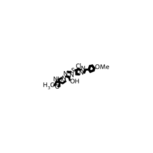 COc1ccc(-c2cn3ccc(Sc4cnc(N5CCC6(CC5)CO[C@@H](C)[C@H]6N)c(CO)n4)c(Cl)c3n2)cc1